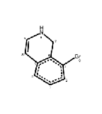 Brc1cccc2c1CNC=C2